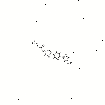 CCC=CC(=O)Oc1ccc(-c2ccc(-c3ccc(CCC)s3)cc2)cc1